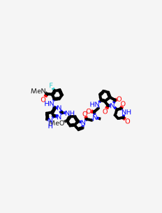 CNC(=O)c1c(F)cccc1Nc1nc(Nc2cc3c(ccn3C(=O)CN(C)C(=O)CNc3cccc4c3C(=O)N(C3CCC(=O)NC3=O)C4=O)cc2OC)nc2[nH]ccc12